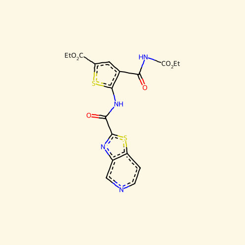 CCOC(=O)NC(=O)c1cc(C(=O)OCC)sc1NC(=O)c1nc2cnccc2s1